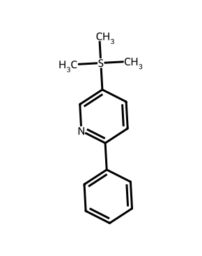 CS(C)(C)c1ccc(-c2ccccc2)nc1